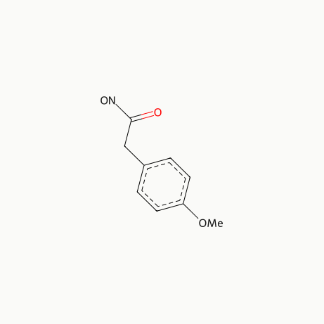 COc1ccc(CC(=O)N=O)cc1